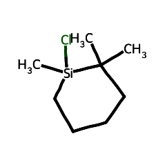 CC1(C)CCCC[Si]1(C)Cl